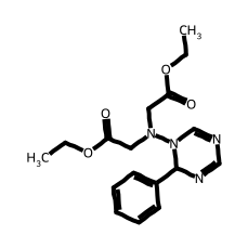 CCOC(=O)CN(CC(=O)OCC)N1C=NC=NC1c1ccccc1